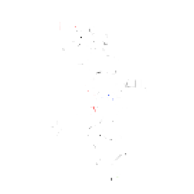 C=CC[C@]1(c2ccc(F)cc2)CCN([C@@H](C)c2ccc(C(C)(C)O)cc2)C(=O)O1